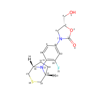 O=C1O[C@@H](CO)CN1c1ccc(N2[C@@H]3CC[C@H]2CSC3)c(F)c1